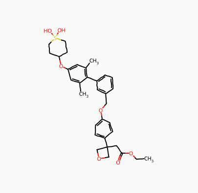 CCOC(=O)CC1(c2ccc(OCc3cccc(-c4c(C)cc(OC5CCS(O)(O)CC5)cc4C)c3)cc2)COC1